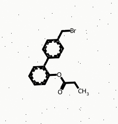 CCC(=O)Oc1ccccc1-c1ccc(CBr)cc1